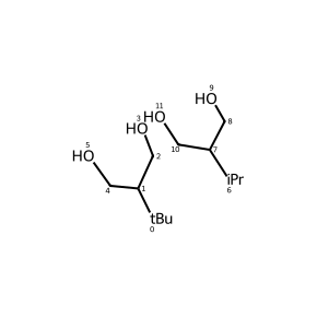 CC(C)(C)C(CO)CO.CC(C)C(CO)CO